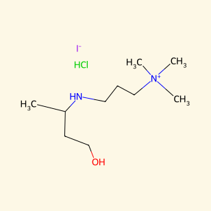 CC(CCO)NCCC[N+](C)(C)C.Cl.[I-]